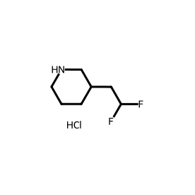 Cl.FC(F)CC1CCCNC1